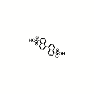 O=S(=O)(O)c1cccc2c(-c3cccc4c(S(=O)(=O)O)cccc34)cccc12